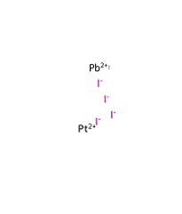 [I-].[I-].[I-].[I-].[Pb+2].[Pt+2]